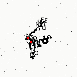 COc1cccc(CN(C(=O)C2=C(c3cnc(CCCOc4nn(C)c(C(F)(F)F)c4Cl)s3)CC3CN(C(=O)OC(C)(C)C)C[C@H]2N3C(=O)OC(C)(C)C)C2CC2)c1C